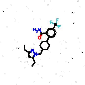 CCc1cc(CC)n(CC2CCC(c3ccc(C(F)(F)F)cc3C(N)=O)CC2)n1